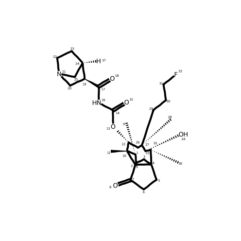 C[C@@H]1CCC23CCC(=O)C2[C@]1(C)[C@H](OC(=O)NC(=O)[C@H]1CN2CC[C@@H]1C2)C[C@@](C)(CCCF)[C@@H](O)[C@@H]3C